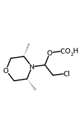 C[C@@H]1COC[C@H](C)N1C(CCl)OC(=O)O